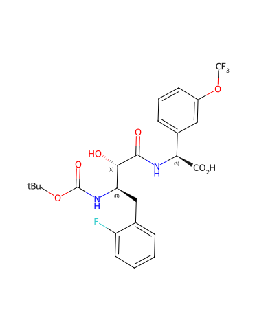 CC(C)(C)OC(=O)N[C@H](Cc1ccccc1F)[C@H](O)C(=O)N[C@H](C(=O)O)c1cccc(OC(F)(F)F)c1